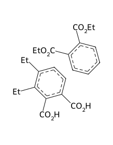 CCOC(=O)c1ccccc1C(=O)OCC.CCc1ccc(C(=O)O)c(C(=O)O)c1CC